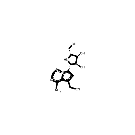 N#CCc1cc([C@@H]2N[C@H](CO)[C@@H](O)[C@H]2O)n2ncnc(N)c12